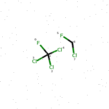 FC(Cl)(Cl)Cl.F[C]Cl